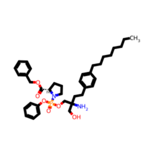 CCCCCCCCc1ccc(CCC(N)(CO)COP(=O)(Oc2ccccc2)N2CCC[C@H]2C(=O)OCc2ccccc2)cc1